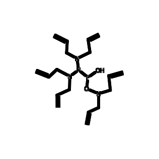 C=CCN(CC=C)OP(O)N(N(CC=C)CC=C)N(CC=C)CC=C